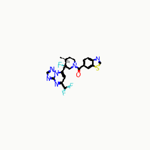 C[C@H]1CCN(C(=O)c2ccc3ncsc3c2)C[C@]1(F)c1cc(C(F)F)nc2ncnn12